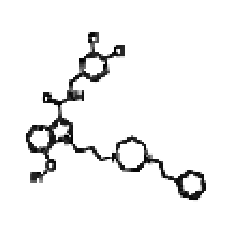 CC(C)Oc1cccc2c(C(=O)NCc3ccc(Cl)c(Cl)c3)cn(CCCN3CCCN(CCc4ccccc4)CC3)c12